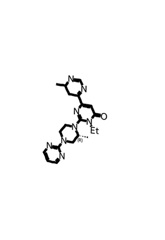 CCn1c(N2CCN(c3ncccn3)C[C@H]2C)nc(C2=NC=NC(C)C2)cc1=O